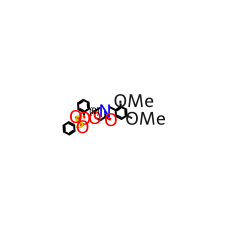 COc1ccc(CN2C[C@@H](c3ccccc3OS(=O)(=O)c3ccccc3)OCC2=O)c(OC)c1